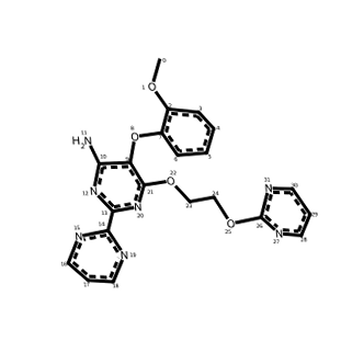 COc1ccccc1Oc1c(N)nc(-c2ncccn2)nc1OCCOc1ncccn1